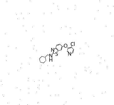 Clc1ccncc1Oc1ccc2nc(NCC3CCCCC3)sc2c1